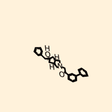 O=C(CN1C[C@@H]2C[C@@](O)(Cc3ccccc3)C[C@@H]2C1)c1cccc(-c2ccccc2)c1